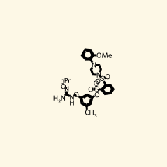 CCCON=C(N)NOc1cc(C)cc(OS(=O)(=O)c2ccccc2S(=O)(=O)N2CCN(c3ccccc3OC)CC2)c1